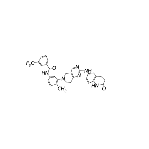 Cc1ccc(NC(=O)c2cccc(C(F)(F)F)c2)cc1N1CCc2nc(Nc3ccc4c(c3)CCC(=O)N4)ncc2C1